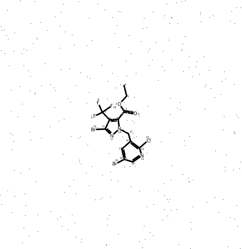 CCOC(=O)c1c(C(F)(F)F)c(Br)nn1Cc1cc(Br)cnc1Cl